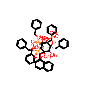 O=P(O)(O)O[C@@]1(Cc2ccccc2)[C@@H](O)[C@](O)(Cc2ccccc2)[C@@](O)(P(=O)(OCc2ccccc2)OCc2ccccc2)[C@](O)(P(=O)(OCc2ccccc2)OCc2ccccc2)[C@@]1(O)Cc1ccccc1